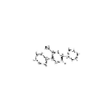 CC(C)(C)c1cc(-c2ccccc2)ncc1-c1ccccc1